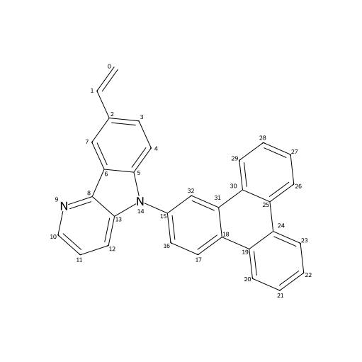 C=Cc1ccc2c(c1)c1ncccc1n2-c1ccc2c3ccccc3c3ccccc3c2c1